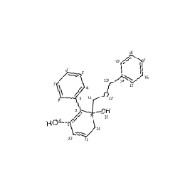 OC1=C(c2ccccc2)C(O)(COCc2ccccc2)CC=C1